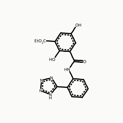 CCOC(=O)c1cc(O)cc(C(=O)Nc2ccccc2-c2nnn[nH]2)c1O